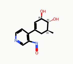 C[C@H]1CC(c2ccncc2N=O)=C[C@@H](O)[C@@H]1O